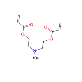 C=CC(=O)OCCN(CCOC(=O)C=C)C(C)(C)C